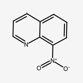 O=[N+]([O-])c1cccc2[c]ccnc12